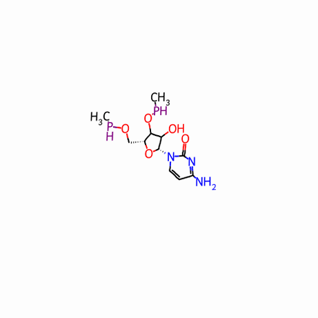 CPOC[C@H]1O[C@@H](n2ccc(N)nc2=O)C(O)C1OPC